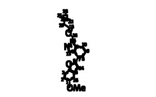 COc1ccc2oc(-c3cccc4c3cnn4COCC[Si](C)(C)C)cc2c1